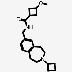 COC1CC(C(=O)NCc2ccc3c(c2)CCN(C2CCC2)CC3)C1